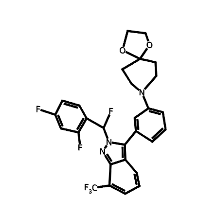 Fc1ccc(C(F)n2nc3c(C(F)(F)F)cccc3c2-c2cccc(N3CCC4(CC3)OCCO4)c2)c(F)c1